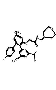 Cc1cc(-c2c(OCC(=O)NCC3CCOCC3)nc(N)nc2-c2ccc(F)cc2)cc(C(F)F)n1